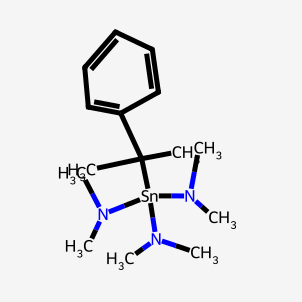 C[N](C)[Sn]([N](C)C)([N](C)C)[C](C)(C)c1ccccc1